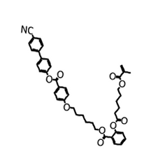 C=C(C)C(=O)OCCCCCC(=O)Oc1ccccc1C(=O)OCCCCCCOc1ccc(C(=O)Oc2ccc(-c3ccc(C#N)cc3)cc2)cc1